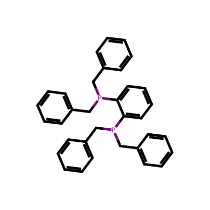 c1ccc(CP(Cc2ccccc2)c2ccccc2P(Cc2ccccc2)Cc2ccccc2)cc1